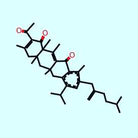 C=C(CCC(C)C)Cc1cc(C(C)C)c2c(c1C)C(=O)C1=C(C)C3(C)C(=O)C(C(C)=O)=C(C)CC3(C)CC1(C)C2